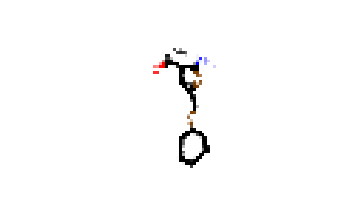 COC(=O)c1cc(CSC2CCCCC2)sc1N